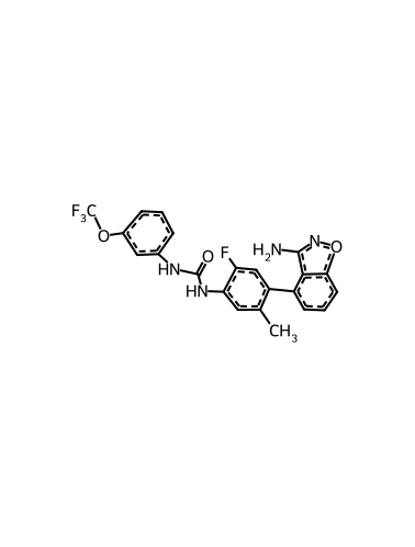 Cc1cc(NC(=O)Nc2cccc(OC(F)(F)F)c2)c(F)cc1-c1cccc2onc(N)c12